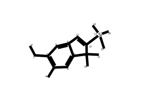 CCc1cc2c(cc1C)C(C)(C)C([Si](C)(C)C)=C2